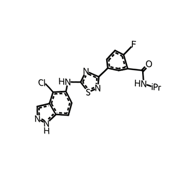 CC(C)NC(=O)c1cc(-c2nsc(Nc3ccc4[nH]ncc4c3Cl)n2)ccc1F